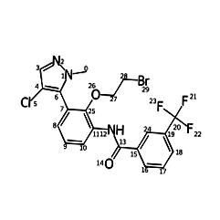 Cn1ncc(Cl)c1-c1cccc(NC(=O)c2cccc(C(F)(F)F)c2)c1OCCBr